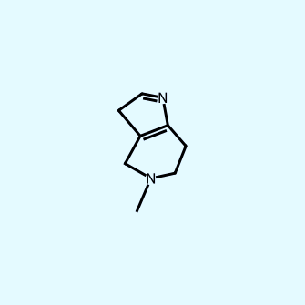 CN1CCC2=C(CC=N2)C1